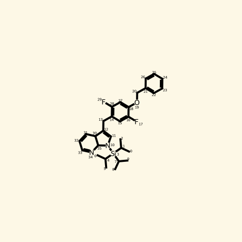 CC(C)[Si](C(C)C)(C(C)C)N1C=C(Cc2cc(F)c(OCc3ccccc3)cc2F)C2C=CC=NC21